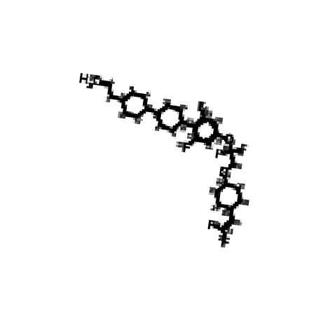 C=CCC1CCC(C2CCC(c3c(F)cc(OC(F)(F)COC4CCC(C=C(F)F)CC4)cc3F)CC2)CC1